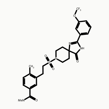 CNC(=O)c1ccc(C)c(CCS(=O)(=O)N2CCC3(CC2)N=C(c2cccc(OC(F)(F)F)c2)NC3=O)c1